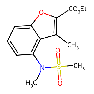 CCOC(=O)c1oc2cccc(N(C)S(C)(=O)=O)c2c1C